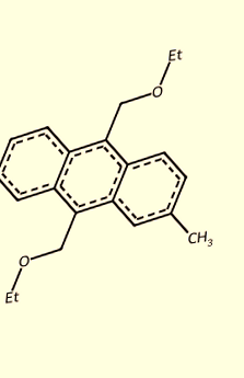 CCOCc1c2ccccc2c(COCC)c2cc(C)ccc12